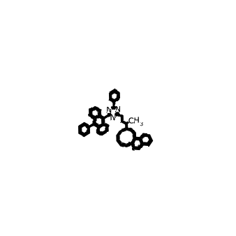 CC(CCc1nc(-c2ccccc2)nc(-c2c3ccccc3c(-c3ccccc3)c3ccccc23)n1)c1cccccc2ccc3ccccc3c2cc1